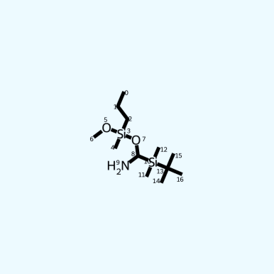 CCC[Si](C)(OC)OC(N)[Si](C)(C)C(C)(C)C